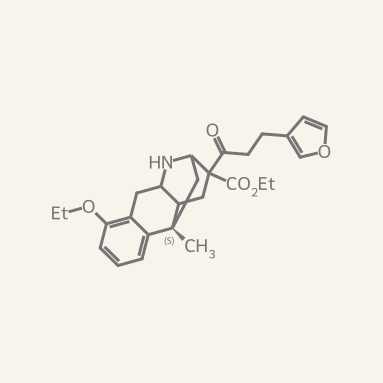 CCOC(=O)C1(C(=O)CCc2ccoc2)CC2C3Cc4c(OCC)cccc4[C@@]2(C)CC1N3